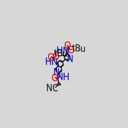 Cc1c(NC(=O)OC(C)(C)C)cncc1-c1cc(NC(=O)OC(C)(C)C)c2cnc(NC(=O)C3CC3C#N)cc2c1